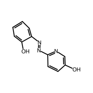 Oc1ccc(/N=N/c2ccccc2O)nc1